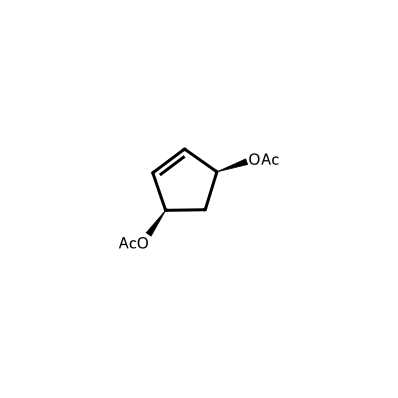 CC(=O)O[C@@H]1C=C[C@H](OC(C)=O)C1